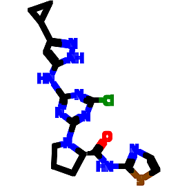 O=C(Nc1nccs1)[C@@H]1CCCN1c1nc(Cl)nc(Nc2cc(C3CC3)n[nH]2)n1